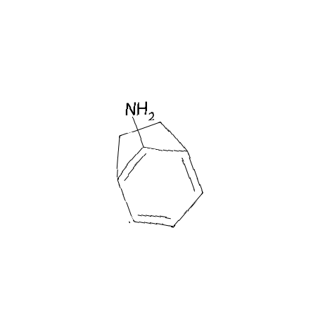 Nc1c2[c]ccc1CC2